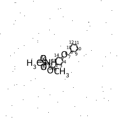 CC1(c2ccc(OCc3ccccc3)cc2)OC1NS(C)(=O)=O